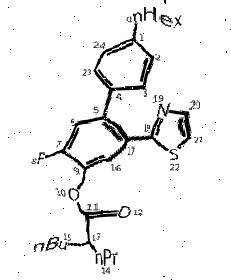 CCCCCCc1ccc(-c2cc(F)c(OC(=O)C(CCC)CCCC)cc2-c2nccs2)cc1